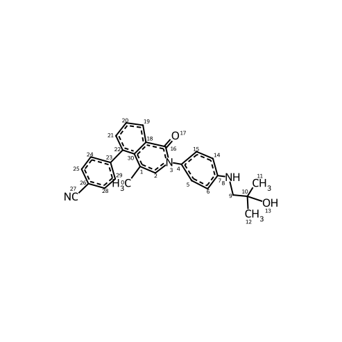 Cc1cn(-c2ccc(NCC(C)(C)O)cc2)c(=O)c2cccc(-c3ccc(C#N)cc3)c12